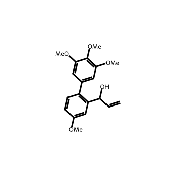 C=CC(O)c1cc(OC)ccc1-c1cc(OC)c(OC)c(OC)c1